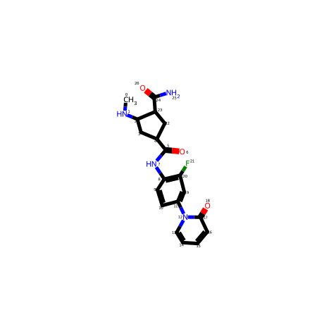 CNC1CC(C(=O)Nc2ccc(-n3ccccc3=O)cc2F)CC1C(N)=O